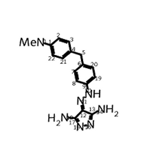 CNc1ccc(Cc2ccc(NN=C3C(N)=NN=C3N)cc2)cc1